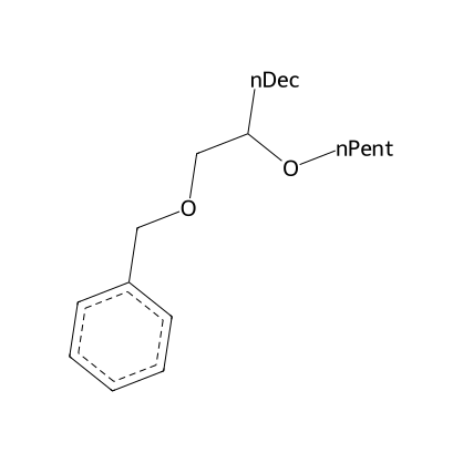 CCCCCCCCCCC(COCc1ccccc1)OCCCCC